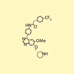 COc1cc2c(-c3ccc(NC(=O)Cc4ccc(C(F)(F)F)cc4)cc3)ncnc2cc1OC[C@H]1CCCNC1